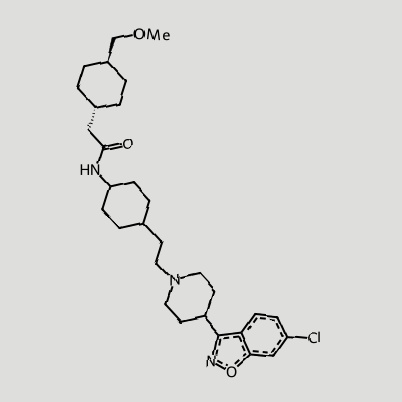 COC[C@H]1CC[C@H](CC(=O)NC2CCC(CCN3CCC(c4noc5cc(Cl)ccc45)CC3)CC2)CC1